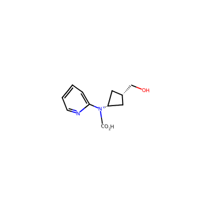 O=C(O)N(c1ccccn1)[C@H]1C[C@@H](CO)C1